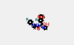 O=C(N[C@H](CN1CCCC1)[C@H](O)c1cc(F)c2c(c1)OCCO2)[C@H]1CCN(c2ccc(F)cc2)C1